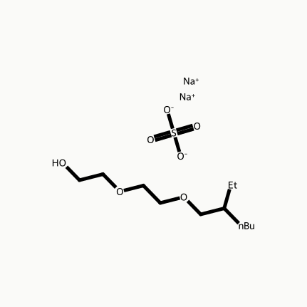 CCCCC(CC)COCCOCCO.O=S(=O)([O-])[O-].[Na+].[Na+]